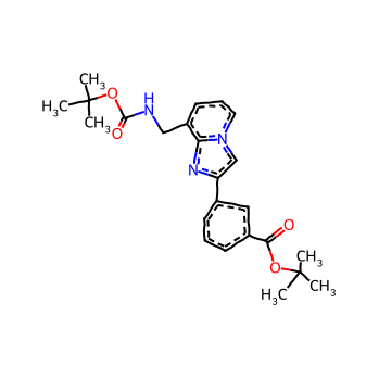 CC(C)(C)OC(=O)NCc1cccn2cc(-c3cccc(C(=O)OC(C)(C)C)c3)nc12